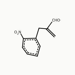 C=C([C]=O)Cc1ccccc1[N+](=O)[O-]